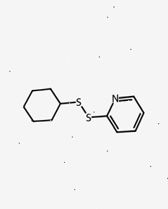 c1ccc(SSC2CCCCC2)nc1